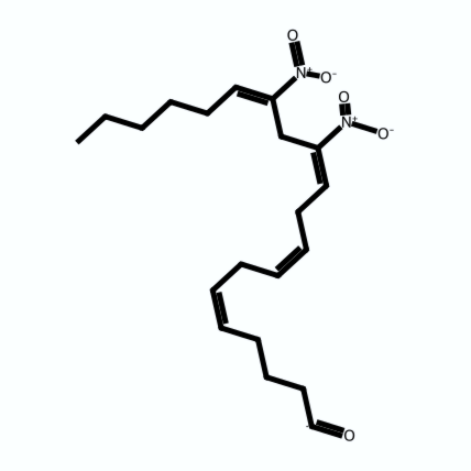 CCCCC/C=C(\C/C(=C\C/C=C\C/C=C\CCC[C]=O)[N+](=O)[O-])[N+](=O)[O-]